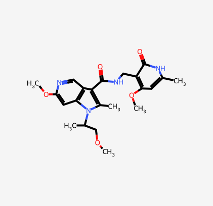 COCC(C)n1c(C)c(C(=O)NCc2c(OC)cc(C)[nH]c2=O)c2cnc(OC)cc21